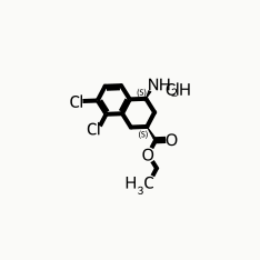 CCOC(=O)[C@H]1Cc2c(ccc(Cl)c2Cl)[C@@H](N)C1.Cl